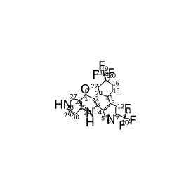 O=c1cc(-c2cnc(C(F)(F)F)cc2C2CCC(C(F)(F)F)CC2)[nH]c2c1CNC=C2